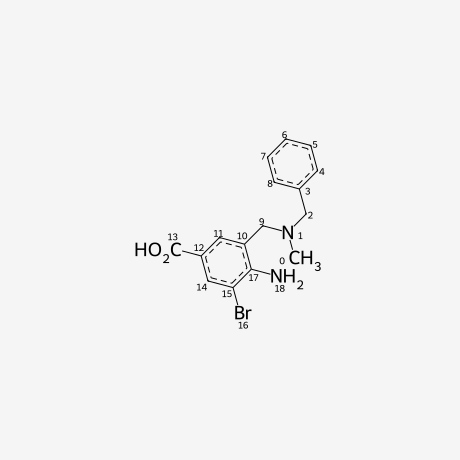 CN(Cc1ccccc1)Cc1cc(C(=O)O)cc(Br)c1N